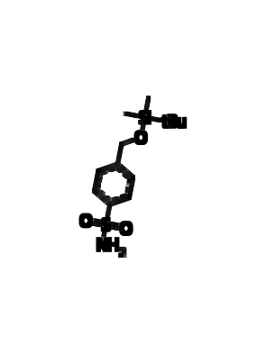 CC(C)(C)[Si](C)(C)OCc1ccc(S(N)(=O)=O)cc1